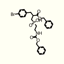 O=C(NCCP(=O)(O)CC(Cc1ccc(Br)cc1)C(=O)OCc1ccccc1)OCc1ccccc1